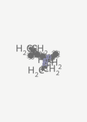 C=CCC(C=C)/C=C/C=C(\C=C)N(/C=C/CC(C=C)c1ccccc1)c1ccc(-c2ccc(C(C3=CCCC=C3)C(C=C)CC=C)cc2)cc1